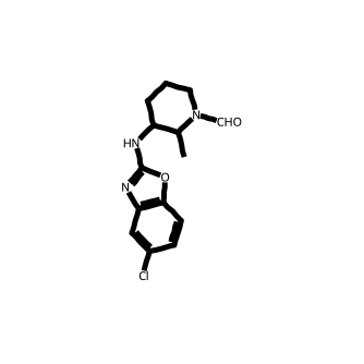 CC1C(Nc2nc3cc(Cl)ccc3o2)CCCN1C=O